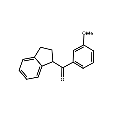 COc1cccc(C(=O)C2CCc3ccccc32)c1